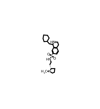 CN1CCC[C@H]1CCNS(=O)(=O)c1ccc2c(c1)C(CC1CCCCC1)NCC2